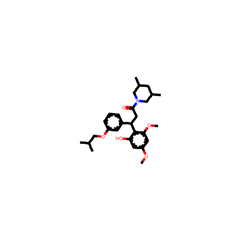 COc1cc(O)c(C(CC(=O)N2CC(C)CC(C)C2)c2cccc(OCC(C)C)c2)c(OC)c1